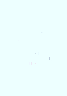 CO.OC(C(F)(F)F)C(F)(F)F